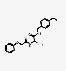 CC(NC(=O)COc1ccccc1)C(=O)NCc1ccc(CO)cc1